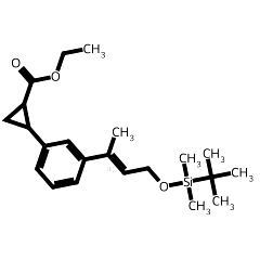 CCOC(=O)C1CC1c1cccc(/C(C)=C/CO[Si](C)(C)C(C)(C)C)c1